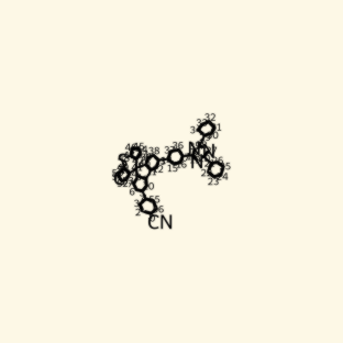 N#Cc1ccc(-c2ccc3c(c2)-c2cc(-c4ccc(-c5nc(-c6ccccc6)nc(-c6ccccc6)n5)cc4)ccc2C32c3ccccc3Sc3ccccc32)cc1